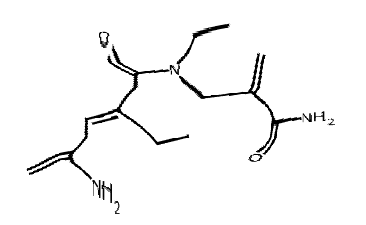 C=C(N)/C=C(\CC)C(=O)N(CC)CC(=C)C(N)=O